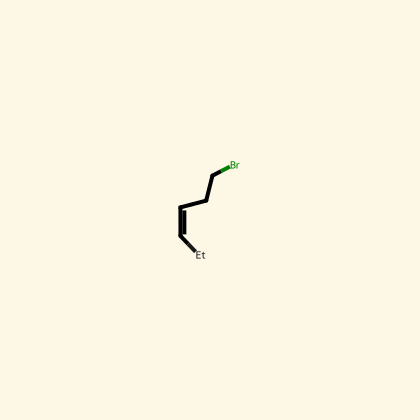 [CH2]C/C=C\CCBr